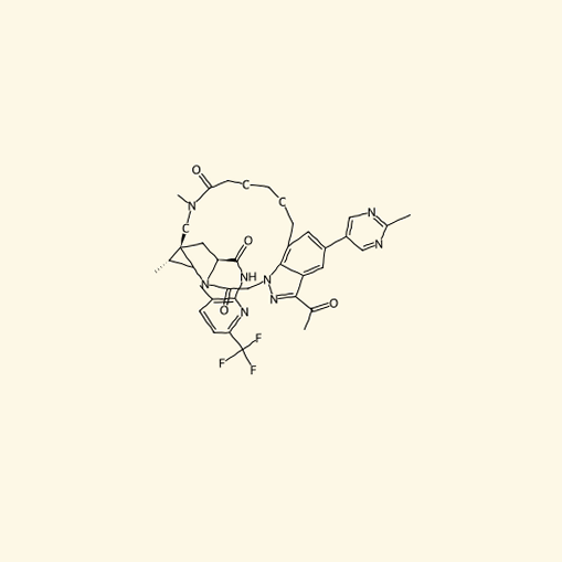 CC(=O)c1nn2c3c(cc(-c4cnc(C)nc4)cc13)CCCCCC(=O)N(C)C[C@@]13C[C@@H](C(=O)Nc4nc(C(F)(F)F)ccc4C)N(C(=O)C2)C1[C@@H]3C